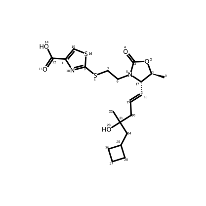 C[C@@H]1OC(=O)N(CCSc2nc(C(=O)O)cs2)[C@H]1C=CCC(C)(O)CC1CCC1